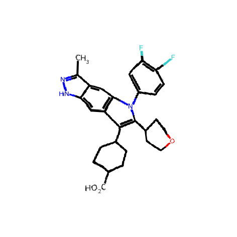 Cc1n[nH]c2cc3c(C4CCC(C(=O)O)CC4)c(C4CCOCC4)n(-c4ccc(F)c(F)c4)c3cc12